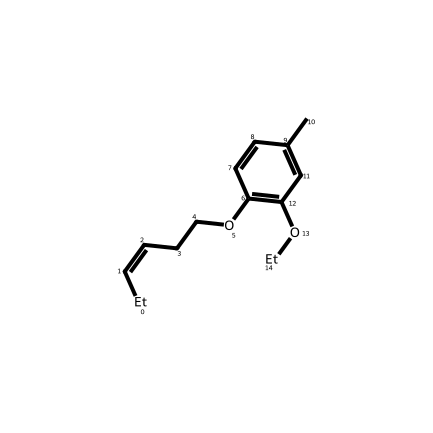 CC/C=C\CCOc1ccc(C)cc1OCC